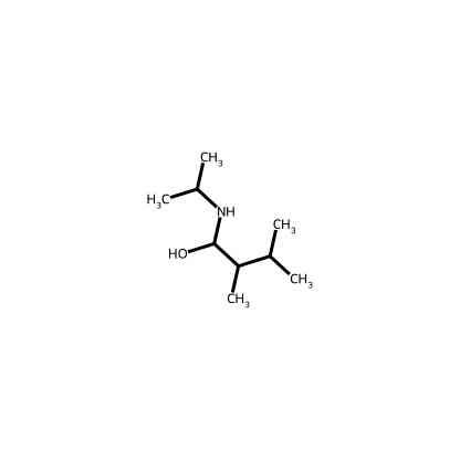 CC(C)NC(O)C(C)C(C)C